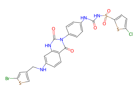 O=C(Nc1ccc(-n2c(=O)[nH]c3cc(NCc4csc(Br)c4)ccc3c2=O)cc1)NS(=O)(=O)c1ccc(Cl)s1